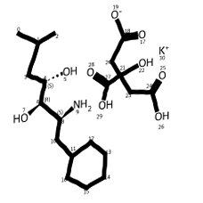 CC(C)C[C@H](O)[C@H](O)[C@@H](N)CC1CCCCC1.O=C([O-])CC(O)(CC(=O)O)C(=O)O.[K+]